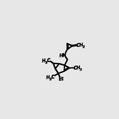 C=C1C=C1NCC12C(C)=C1C(C)(CC)C1C(C)C12